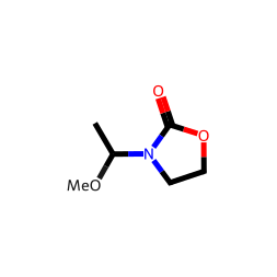 COC(C)N1CCOC1=O